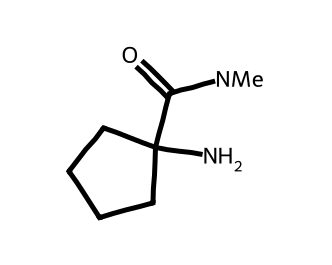 CNC(=O)C1(N)CCCC1